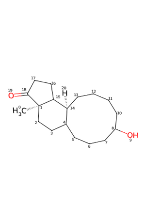 C[C@@]12CCC3CCCC(O)CCCC[C@@H]3C1CCC2=O